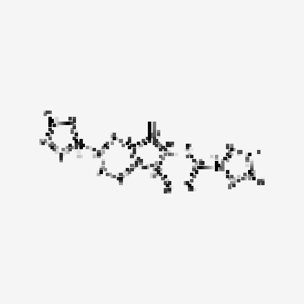 c1cn(-c2ccc3c(c2)[nH]c2cc(-n4ccnc4)ccc23)cn1